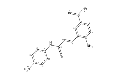 CCCC(=N)c1ccc(N)c(C=CC(=O)Nc2ccc(N)cc2)c1